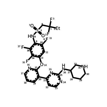 CCC(F)(F)CS(=O)(=O)Nc1c(F)cc(Oc2ncccc2-c2ccnc(NC3CCCNC3)n2)c(F)c1F